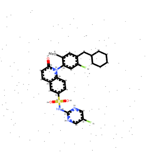 COc1cc(CC2CCCCC2)c(F)cc1-n1c(=O)ccc2cc(S(=O)(=O)Nc3ncc(F)cn3)ccc21